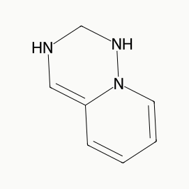 C1=CC2=CNCNN2C=C1